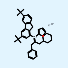 CC(C)(C)c1ccc2c(c1)-c1cc(C(C)(C)C)c[c](/[Zr+2]([C]3=CC=CC3)=[C](\Cc3ccccc3)CC3CCCCC3)c1C2.[Cl-].[Cl-]